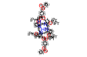 CC(C)C(Oc1ccc(COC(=O)c2ccc(COC(=O)C3=C=C=C=C3)cc2)c2c1-c1cc3[nH]c(cc4nc(cc5[nH]c(cc-2n1)c1c(OC(C(C)C)C(C)C)cccc51)-c1c(OC(C(C)C)C(C)C)ccc(COC(=O)c2ccc(COC(=O)C5=CC=CC5)cc2)c1-4)c1c(OC(C(C)C)C(C)C)cccc31)C(C)C